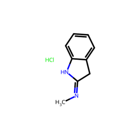 C/N=C1/Cc2ccccc2N1.Cl